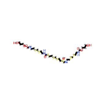 O=C(NCCSCSCC/N=C\[S+]([O-])CCSCSCCSC(=O)NCCSCSCC/N=C/OOCCCO)OCCCO